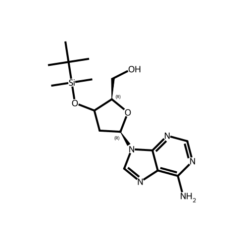 CC(C)(C)[Si](C)(C)OC1C[C@H](n2cnc3c(N)ncnc32)O[C@@H]1CO